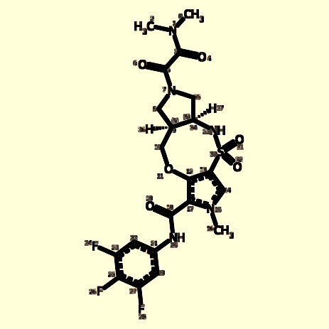 CN(C)C(=O)C(=O)N1C[C@@H]2COc3c(cn(C)c3C(=O)Nc3cc(F)c(F)c(F)c3)S(=O)(=O)N[C@@H]2C1